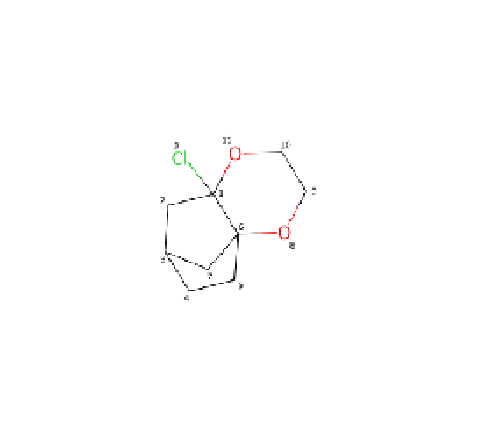 ClC12CC3CCC1(C3)OCCO2